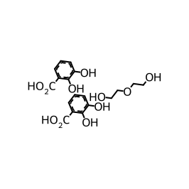 O=C(O)c1cccc(O)c1O.O=C(O)c1cccc(O)c1O.OCCOCCO